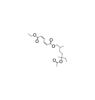 CCOC(=O)/C=C\C=C/C(=O)OCC(C)CCC(C)(CC)OC(C)=O